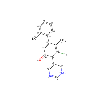 CC1=C(F)C(C2=CN=CNC2)C(=O)C=C1c1ccccc1C#N